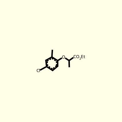 CCOC(=O)C(C)Oc1ccc(Cl)cc1C